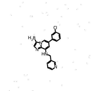 Bc1cnc2c(NCc3cccnc3)cc(-c3cccc(Cl)c3)cn12